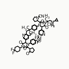 CC(C)(CNC1CC1)NC(=O)C(c1cccnc1)N(C(=O)C1CCCN1C#N)c1ccc(C(C)(C)Cc2ncc(C(C(=O)NC3CCC(F)(F)CC3)N(C(=O)C3CCCC3=O)c3ccc(S(F)(F)(F)(F)F)cc3)cc2F)cc1